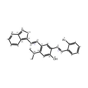 CC(=O)c1ccccc1/N=N/c1cc(/N=N/c2snc3ncccc23)c(N(C)C)cc1O